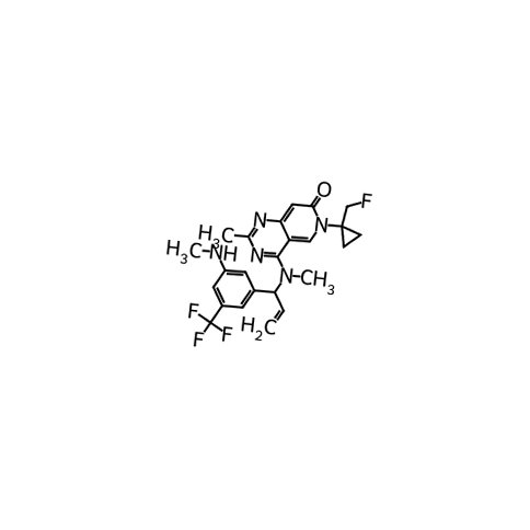 C=CC(c1cc(NC)cc(C(F)(F)F)c1)N(C)c1nc(C)nc2cc(=O)n(C3(CF)CC3)cc12